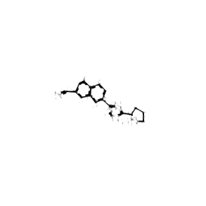 N#Cc1ccc2ccc(-c3nc(C4CCCN4)no3)cc2c1